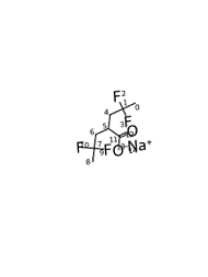 CC(F)(F)CC(CC(C)(F)F)C(=O)[O-].[Na+]